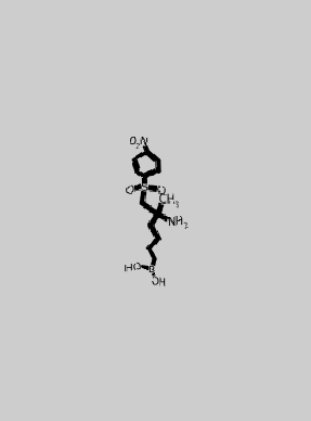 CC(N)(CCCCB(O)O)CS(=O)(=O)c1ccc([N+](=O)[O-])cc1